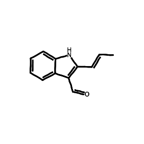 CC=Cc1[nH]c2ccccc2c1C=O